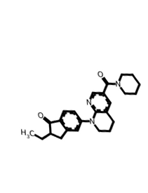 CCC1Cc2cc(N3CCCc4cc(C(=O)N5CCCCC5)cnc43)ccc2C1=O